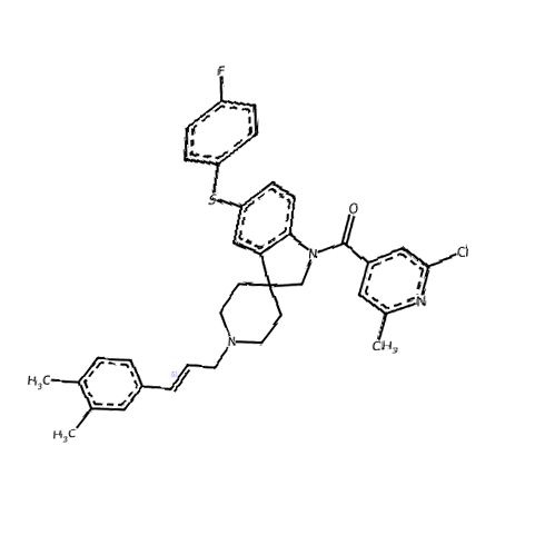 Cc1cc(C(=O)N2CC3(CCN(C/C=C/c4ccc(C)c(C)c4)CC3)c3cc(Sc4ccc(F)cc4)ccc32)cc(Cl)n1